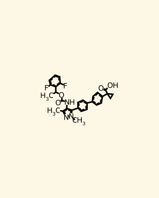 Cc1nn(C)c(-c2ccc(-c3ccc(C4(C(=O)O)CC4)cc3)cc2)c1NC(=O)OC(C)c1c(F)cccc1F